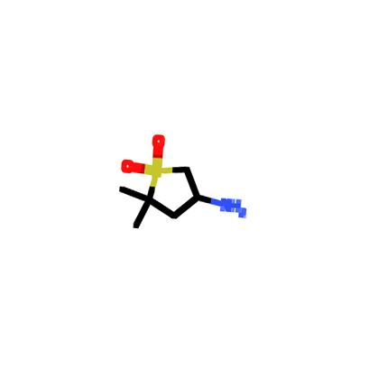 CC1(C)CC(N)CS1(=O)=O